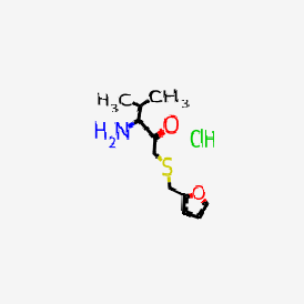 CC(C)C(N)C(=O)CSCc1ccco1.Cl